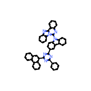 c1ccc(-c2nc(-c3ccc4c(c3)c3ccccc3n4-c3nc4ccccc4c4nc5ccccc5n34)nc(-c3cc4ccccc4c4ccccc34)n2)cc1